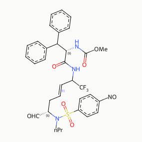 CCCN([C@H](C=O)C/C=C/C(NC(=O)[C@@H](NC(=O)OC)C(c1ccccc1)c1ccccc1)C(F)(F)F)S(=O)(=O)c1ccc(N=O)cc1